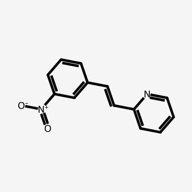 O=[N+]([O-])c1cccc(/C=C/c2ccccn2)c1